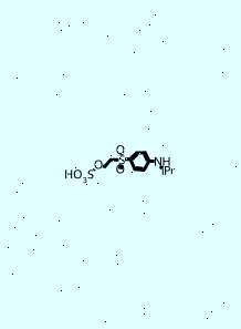 CC(C)Nc1ccc(S(=O)(=O)CCOS(=O)(=O)O)cc1